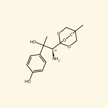 CC12COC([C@@H](N)C(C)(O)c3ccc(O)cc3)(OC1)OC2